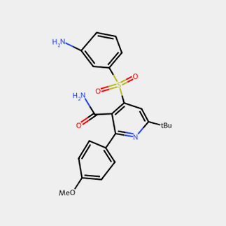 COc1ccc(-c2nc(C(C)(C)C)cc(S(=O)(=O)c3cccc(N)c3)c2C(N)=O)cc1